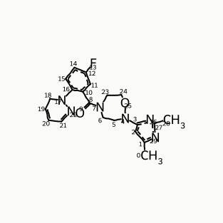 Cc1cc(N2CCN(C(=O)c3cc(F)ccc3N3CC=CC=N3)CCO2)nc(C)n1